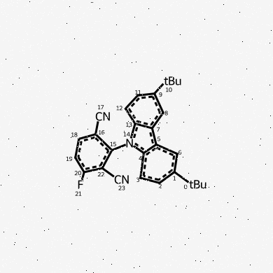 CC(C)(C)c1ccc2c(c1)c1cc(C(C)(C)C)ccc1n2-c1c(C#N)ccc(F)c1C#N